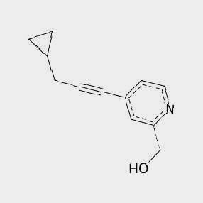 OCc1cc(C#CCC2CC2)ccn1